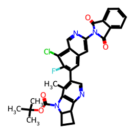 Cc1c(-c2cc3cc(N4C(=O)c5ccccc5C4=O)ncc3c(Cl)c2F)cnc2c1N(C(=O)OC(C)(C)C)C1CCC21